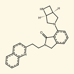 O=C1c2c(cccc2N2C[C@@H]3CN[C@@H]3C2)CN1CCc1ccc2ccccc2n1